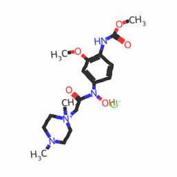 COC(=O)Nc1ccc(N(O)C(=O)C[N+]2(C)CCN(C)CC2)cc1OC.[Cl-]